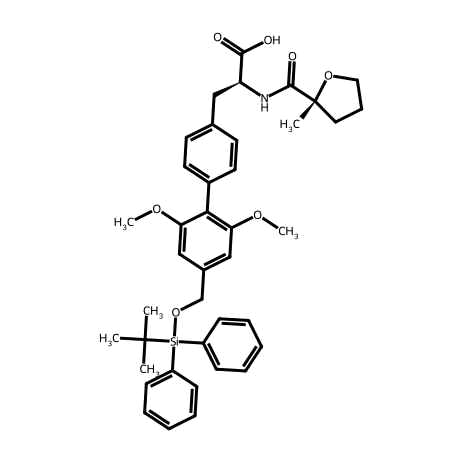 COc1cc(CO[Si](c2ccccc2)(c2ccccc2)C(C)(C)C)cc(OC)c1-c1ccc(C[C@H](NC(=O)[C@@]2(C)CCCO2)C(=O)O)cc1